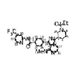 CCC(=O)N1CCCC(c2nc(-c3ccc(C(=O)Nc4cc(C(F)(F)F)ccn4)cc3)c3c(NC)nccn23)C1